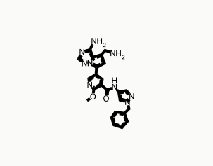 COc1ncc(-c2cc(CN)c3c(N)ncnn23)cc1C(=O)Nc1cnn(Cc2ccccc2)c1